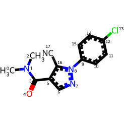 CN(C)C(=O)c1cnn(-c2ccc(Cl)cc2)c1C#N